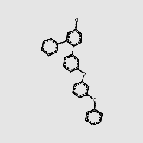 Clc1ccc(-c2cccc(Oc3cccc(Oc4ccccc4)c3)c2)c(-c2ccccc2)c1